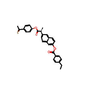 CCc1ccc(C(=O)Oc2ccc3cc([C@H](C)C(=O)Oc4ccc(C(C)=S)cc4)ccc3c2)cc1